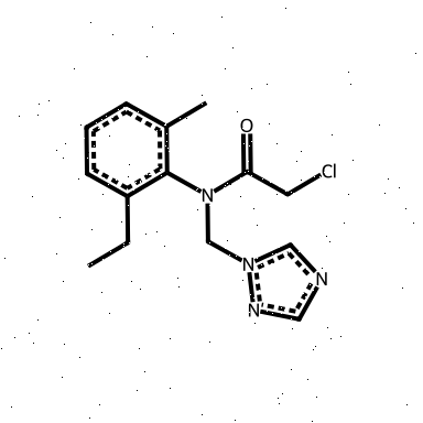 CCc1cccc(C)c1N(Cn1cncn1)C(=O)CCl